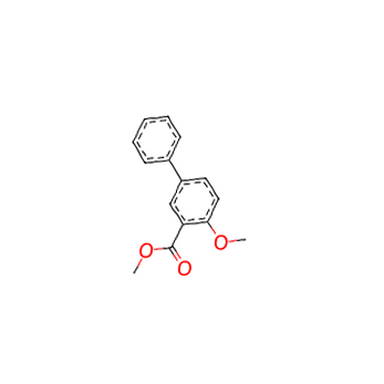 COC(=O)c1cc(-c2ccccc2)ccc1OC